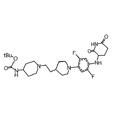 CC(C)(C)OC(=O)NC1CCN(CCC2CCN(c3cc(F)c(NC4CCC(=O)NC4=O)cc3F)CC2)CC1